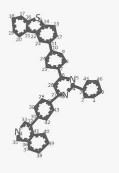 c1ccc(-c2nc(-c3ccc(-c4ccc5sc6ccccc6c5c4)cc3)cc(-c3ccc(-c4cncc5ccccc45)cc3)n2)cc1